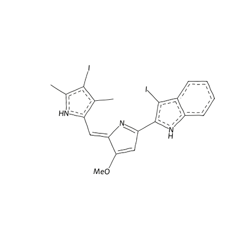 COC1=CC(c2[nH]c3ccccc3c2I)=NC1=Cc1[nH]c(C)c(I)c1C